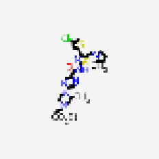 CCOC(=O)CCN1CCN(c2cnc(C(=O)Nc3nc(-c4cc(Cl)cs4)c(CN4CCC[C@H]4C)s3)cn2)[C@@H](C)C1